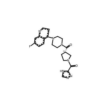 O=C(c1nnc[nH]1)N1CC[C@H](C(=O)N2CCN(c3ccnc4cc(F)ccc34)CC2)C1